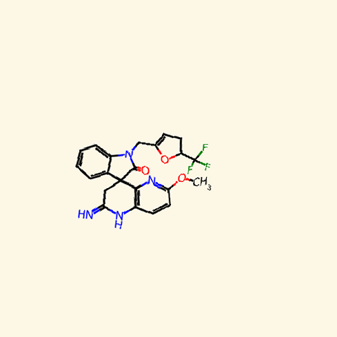 COc1ccc2c(n1)C1(CC(=N)N2)C(=O)N(CC2=CCC(C(F)(F)F)O2)c2ccccc21